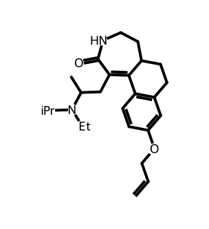 C=CCOc1ccc2c(c1)CCC1CCNC(=O)C(CC(C)N(CC)C(C)C)=C21